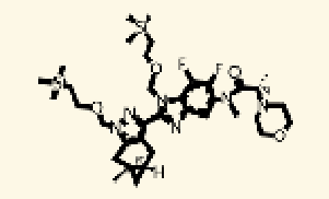 C[C@@H](C(=O)N(C)c1cc2nc(-c3nn(COCC[Si](C)(C)C)c4c3C[C@@H]3C[C@]3(C)C4)n(COCC[Si](C)(C)C)c2c(F)c1F)N1CCOCC1